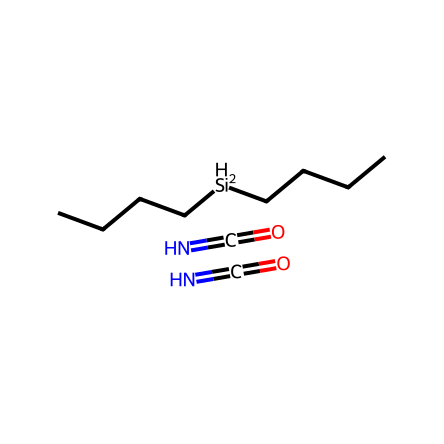 CCCC[SiH2]CCCC.N=C=O.N=C=O